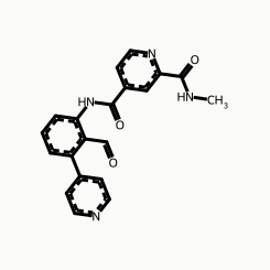 CNC(=O)c1cc(C(=O)Nc2cccc(-c3ccncc3)c2C=O)ccn1